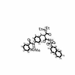 CCN(CC)C(=O)C(Cc1ccc(NC(=O)c2ccccc2OC)cc1)C(=O)NS(=O)(=O)c1ccc2ccccc2c1